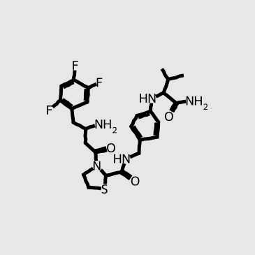 CC(C)C(Nc1ccc(CNC(=O)C2SCCN2C(=O)CC(N)Cc2cc(F)c(F)cc2F)cc1)C(N)=O